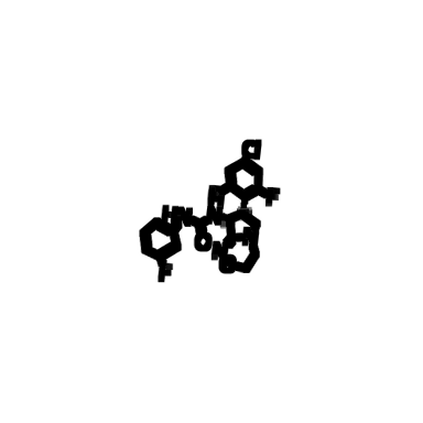 O=C(Nc1cccc(F)c1)N[C@@H]1C2=NOCCN2C[C@H]1c1c(F)cc(Cl)cc1F